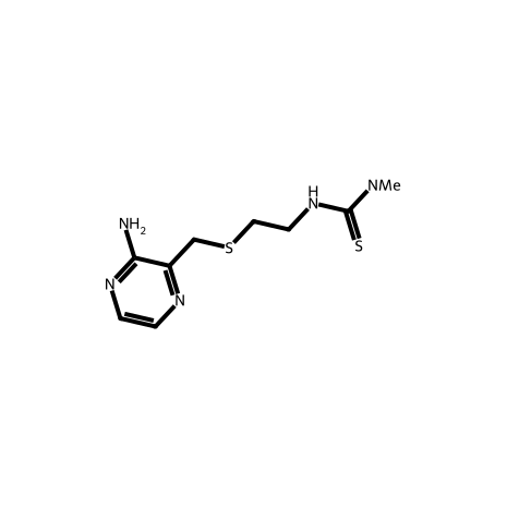 CNC(=S)NCCSCc1nccnc1N